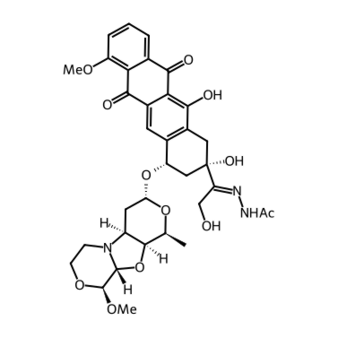 COc1cccc2c1C(=O)c1cc3c(c(O)c1C2=O)C[C@@](O)(/C(CO)=N/NC(C)=O)C[C@@H]3O[C@H]1C[C@H]2[C@H](O[C@@H]3[C@@H](OC)OCCN32)[C@H](C)O1